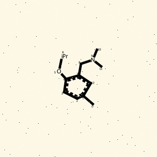 Cc1ccc(OC(C)C)c(CN(C)C)c1